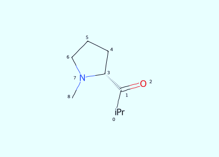 CC(C)C(=O)[C@H]1CCCN1C